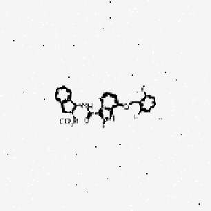 Cc1nc2c(OCc3c(F)cccc3F)cccn2c1C(=O)N[C@@H]1c2ccccc2C[C@H]1C(=O)O